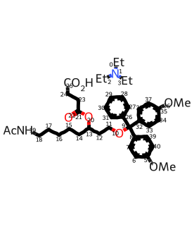 CCN(CC)CC.COc1ccc(C(OCCC(CCCCCNC(C)=O)OC(=O)CCC(=O)O)(c2ccccc2)c2ccc(OC)cc2)cc1